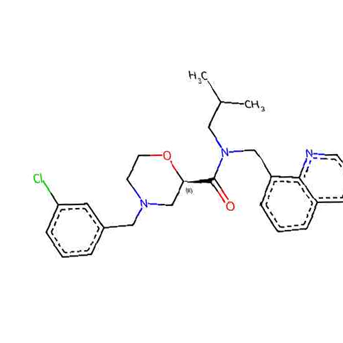 CC(C)CN(Cc1cccc2cccnc12)C(=O)[C@H]1CN(Cc2cccc(Cl)c2)CCO1